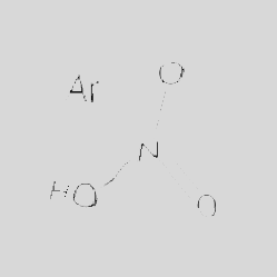 O=[N+]([O-])O.[Ar]